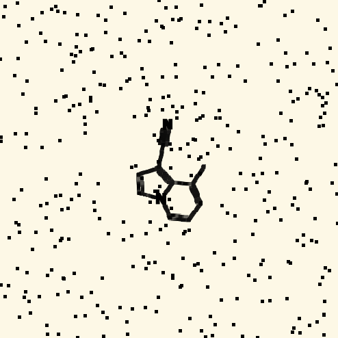 Cc1cccn2ccc(C#N)c12